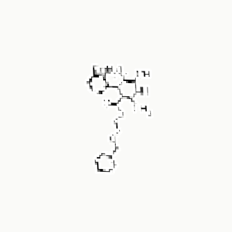 CCOC(=O)C1=C(C#N)NC(C)=C(C(=O)OCCOCc2ccccc2)C1c1ccccc1[N+](=O)[O-]